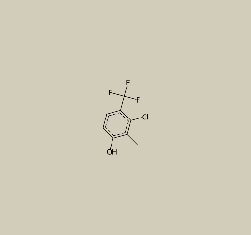 Cc1c(O)ccc(C(F)(F)F)c1Cl